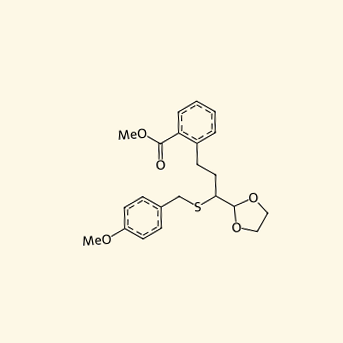 COC(=O)c1ccccc1CCC(SCc1ccc(OC)cc1)C1OCCO1